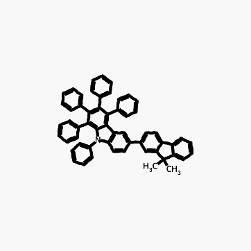 CC1(C)c2ccccc2-c2ccc(-c3ccc4c(c3)c3c(-c5ccccc5)c(-c5ccccc5)c(-c5ccccc5)c(-c5ccccc5)c3n4-c3ccccc3)cc21